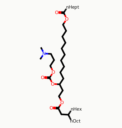 CCCCCCCCC(CCCCCC)CC(=O)OCCC(CCCCCCCCCCOC(=O)CCCCCCC)OC(=O)OCCCN(C)C